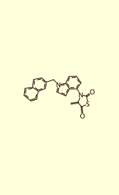 C=C1C(=O)SC(=O)N1c1cccc2c1ccn2Cc1ccc2ccccc2c1